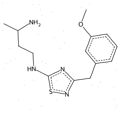 COc1cccc(Cc2nsc(NCCC(C)N)n2)c1